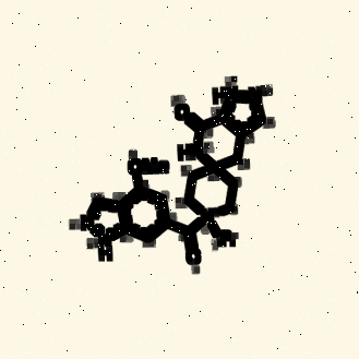 COc1cc(C(=O)[N+]2(C(C)C)CCC3(CC2)Cc2cn[nH]c2C(=O)N3)cc2[nH]ncc12